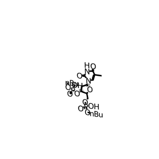 CCCCOP(=O)(O)OCC1O[C@@H](n2cc(C)c(=O)[nH]c2=O)C[C@H]1OP(=O)(O)OCCCC